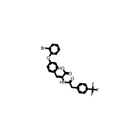 O=C(Cc1ccc(C(F)(F)F)cc1)NC(=Cc1ccc(Oc2ccccc2Br)cc1)C(=O)O